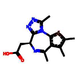 CC1=N[C@@H](CC(=O)O)c2nnc(C)n2-c2sc(C)c(C)c21